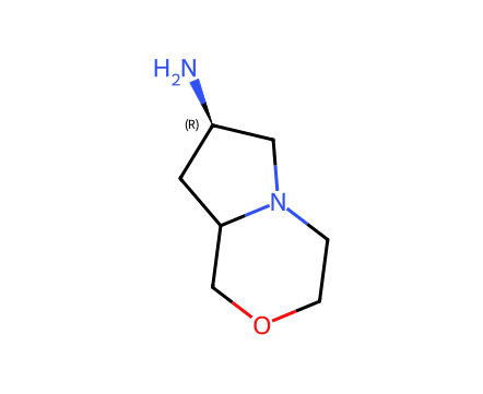 N[C@@H]1CC2COCCN2C1